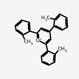 Cc1ccccc1-c1cc(-c2ccccc2C)[o+]c(-c2ccccc2C)c1